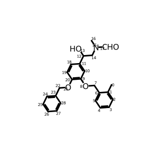 Cc1ccccc1COc1cc(C(O)CN(C)C=O)ccc1OCc1ccccc1